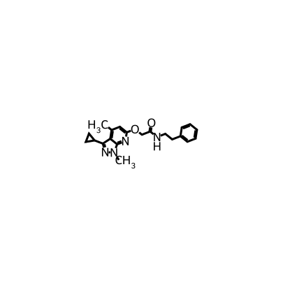 Cc1cc(OCC(=O)NCCc2ccccc2)nc2c1c(C1CC1)nn2C